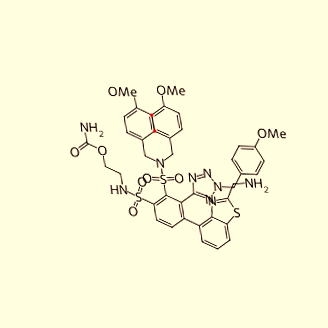 COc1ccc(CN(Cc2ccc(OC)cc2)S(=O)(=O)c2c(S(=O)(=O)NCCOC(N)=O)ccc(-c3cccc4sc(CN)nc34)c2-c2nnn(Cc3ccc(OC)cc3)n2)cc1